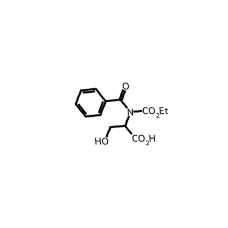 CCOC(=O)N(C(=O)c1ccccc1)C(CO)C(=O)O